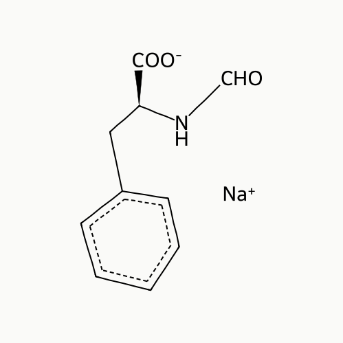 O=CN[C@@H](Cc1ccccc1)C(=O)[O-].[Na+]